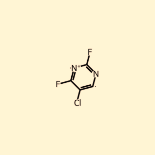 FC1=N[C]=C(Cl)C(F)=[N+]1